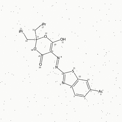 CC(=O)c1ccc2nc(N=NC3=C(O)OC(CC(C)C)(CC(C)C)OC3=O)sc2c1